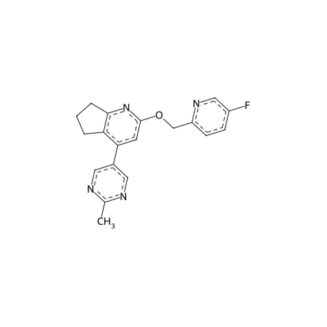 Cc1ncc(-c2cc(OCc3ccc(F)cn3)nc3c2CCC3)cn1